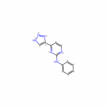 c1ccc(Nc2nccc(-c3c[nH]nn3)n2)cc1